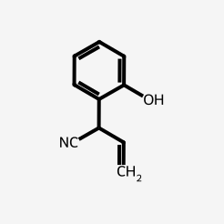 C=CC(C#N)c1ccccc1O